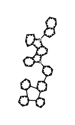 c1cc(-c2ccc3c(c2)-c2ccccc2-c2ccccc2-c2ccccc2-3)cc(-n2c3ccccc3c3c4c5ccccc5n(-c5ccc6ccccc6c5)c4ccc32)c1